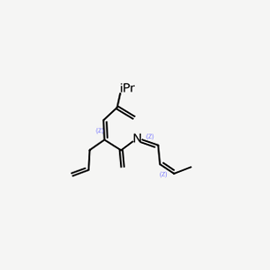 C=CC/C(=C/C(=C)C(C)C)C(=C)/N=C\C=C/C